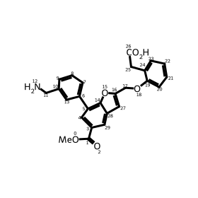 COC(=O)c1cc(-c2cccc(CN)c2)c2oc(COc3ccccc3CC(=O)O)cc2c1